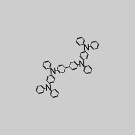 C1=CC(C2C=CC(N(c3ccccc3)c3ccc(N(c4ccccc4)c4ccccc4)cc3)=CC2)CC=C1N(c1ccccc1)c1ccc(N(c2ccccc2)c2ccccc2)cc1